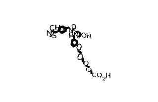 Cc1ncsc1-c1ccc(CNC(=O)[C@@H]2C[C@@H](O)CN2C(=O)c2cccc(OCCOCCOCCOCCC(=O)O)c2)cc1